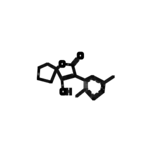 Cc1ccc(C)c(C2=C(O)C3(CCCC3)OC2=O)c1